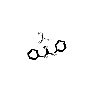 N=C(Nc1ccccc1)Nc1ccccc1.[O-][Br+2]([O-])O